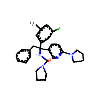 O=C(NC(Cc1ccccc1)(c1ccc(N2CCCC2)nc1)c1cc(F)cc(C(F)(F)F)c1)N1CCCC1